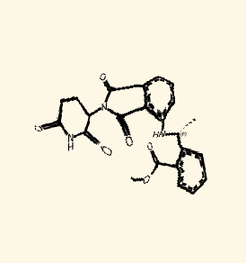 COC(=O)c1ccccc1[C@@H](C)Nc1cccc2c1C(=O)N(C1CCC(=O)NC1=O)C2=O